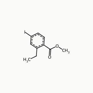 CCc1cc(I)ccc1C(=O)OC